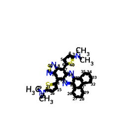 CN(C)c1ccc(-c2c3nsnc3c(-c3ccc(N(C)C)s3)c3nc4c5ccccc5c5ccccc5c4nc23)s1